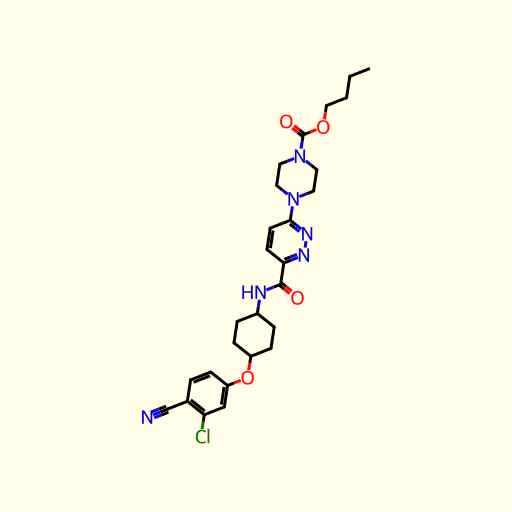 CCCCOC(=O)N1CCN(c2ccc(C(=O)NC3CCC(Oc4ccc(C#N)c(Cl)c4)CC3)nn2)CC1